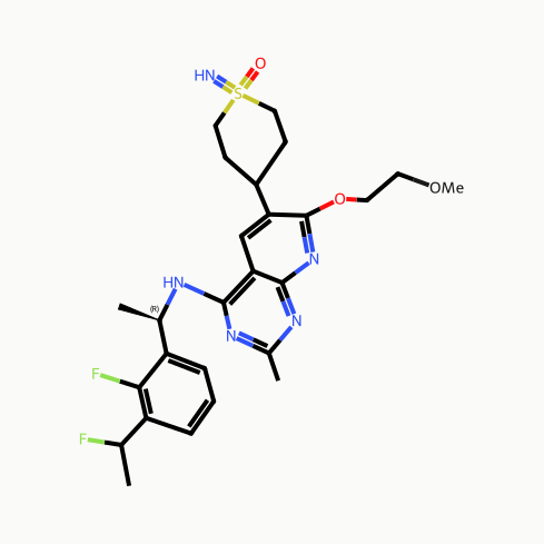 COCCOc1nc2nc(C)nc(N[C@H](C)c3cccc(C(C)F)c3F)c2cc1C1CCS(=N)(=O)CC1